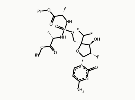 CC(C)OC(=O)[C@H](C)NP(=O)(N[C@@H](C)C(=O)OC(C)C)OC[C@@]1(C(F)F)O[C@@H](n2ccc(N)nc2=O)[C@@H](F)[C@@H]1O